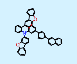 c1cc(-c2ccc(-c3ccc4ccccc4c3)cc2)cc(N(c2ccc3c(c2)oc2ccccc23)c2ccccc2-c2ccc3oc4ccccc4c3c2)c1